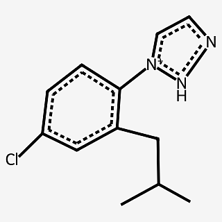 CC(C)Cc1cc(Cl)ccc1-[n+]1ccn[nH]1